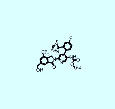 Cn1cnnc1-c1cc(F)ccc1-c1cc(N2Cc3c(cc(CO)cc3C(F)(F)F)C2=O)ncc1NC(=O)OC(C)(C)C